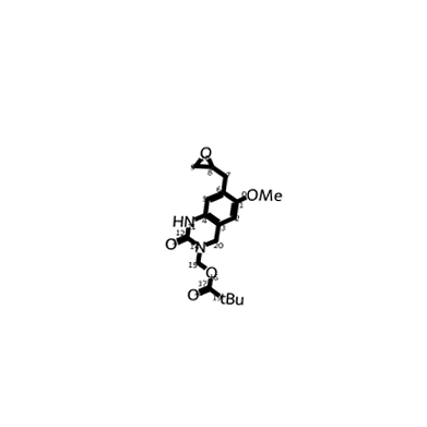 COc1cc2c(cc1CC1CO1)NC(=O)N(COC(=O)C(C)(C)C)C2